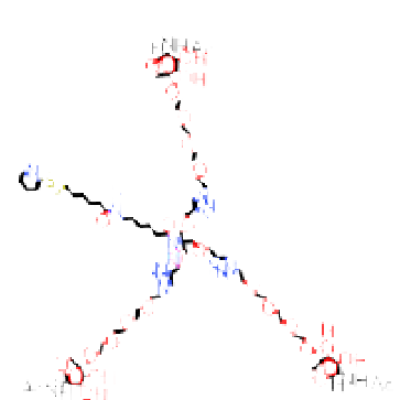 CC(=O)N[C@H]1[C@H]2OC[C@](COCCOCCOCCOCCn3cc(COCC(COCc4cn(CCOCCOCCOCCOC[C@@]56CO[C@@H](O5)[C@H](NC(C)=O)[C@@H](O)[C@H]6O)nn4)(COCc4cn(CCOCCOCCOCCOC[C@@]56CO[C@@H](O5)[C@H](NC(C)=O)[C@@H](O)[C@H]6O)nn4)NC(=O)CCCCCNC(=O)CCCCCSSc4ccccn4)nn3)(O2)[C@H](O)[C@@H]1O